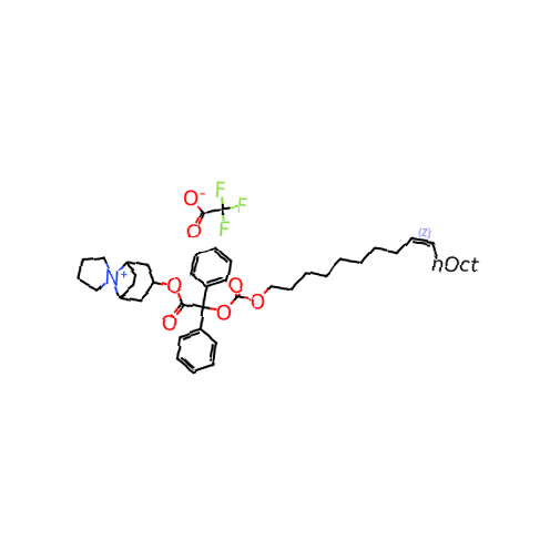 CCCCCCCC/C=C\CCCCCCCCOC(=O)OC(C(=O)OC1CC2CCC(C1)[N+]21CCCC1)(c1ccccc1)c1ccccc1.O=C([O-])C(F)(F)F